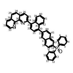 O=P(c1ccccc1)(c1ccccc1)c1ccc2cc(-c3ccc(-c4ccc5ccc6cccnc6c5n4)c4ccccc34)ccc2c1